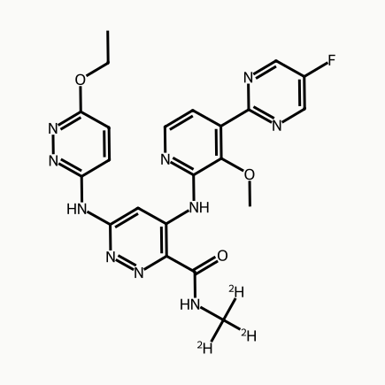 [2H]C([2H])([2H])NC(=O)c1nnc(Nc2ccc(OCC)nn2)cc1Nc1nccc(-c2ncc(F)cn2)c1OC